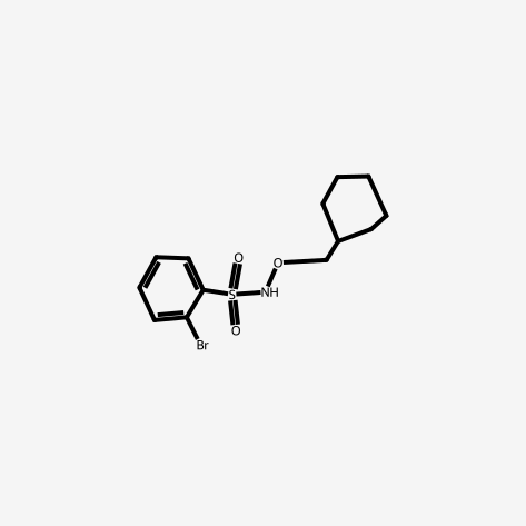 O=S(=O)(NOCC1CCCCC1)c1ccccc1Br